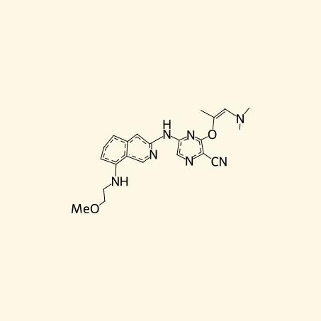 COCCNc1cccc2cc(Nc3cnc(C#N)c(O/C(C)=C\N(C)C)n3)ncc12